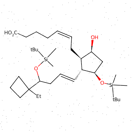 CCC1(C(C/C=C/[C@@H]2[C@@H](C/C=C\CCCC(=O)O)[C@@H](O)C[C@H]2O[Si](C)(C)C(C)(C)C)O[Si](C)(C)C(C)(C)C)CCC1